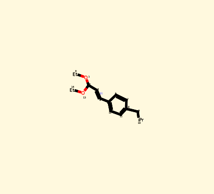 CCOC(/C=C/c1ccc(CC(C)C)cc1)OCC